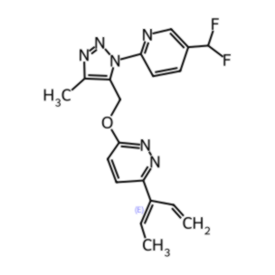 C=C/C(=C\C)c1ccc(OCc2c(C)nnn2-c2ccc(C(F)F)cn2)nn1